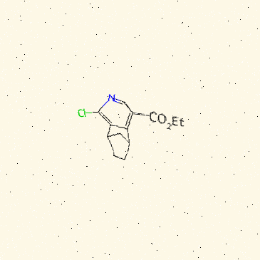 CCOC(=O)c1cnc(Cl)c2c1C1CCC2C1